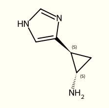 N[C@H]1C[C@@H]1c1c[nH]cn1